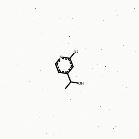 CCc1cc(C(C)O)ccn1